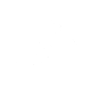 c1ccc(-c2ccc(-c3c4ccccc4c(-c4cc5c6ccccc6sc5c5cc6sc7ccccc7c6cc45)c4ccccc34)c3ccccc23)cc1